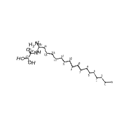 CCCCCCCCCCCCCCCCCC(N)NC(=O)C(O)O